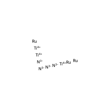 [N-3].[N-3].[N-3].[N-3].[Ru].[Ru].[Ru].[Ti+4].[Ti+4].[Ti+4]